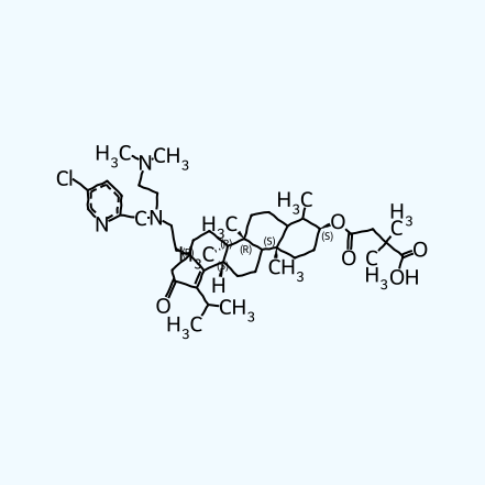 CC(C)C1=C2[C@H]3CCC4[C@@]5(C)CC[C@H](OC(=O)CC(C)(C)C(=O)O)C(C)C5CC[C@@]4(C)[C@]3(C)CC[C@@]2(CCN(CCN(C)C)Cc2ccc(Cl)cn2)CC1=O